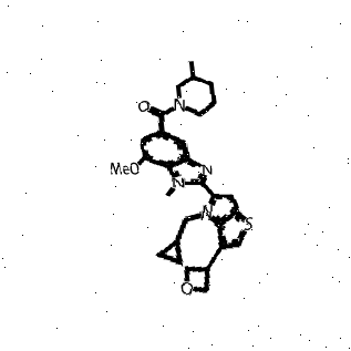 COc1cc(C(=O)N2CCCC(C)C2)cc2nc(-c3cc4scc(C5COC5)c4n3CC3CC3)n(C)c12